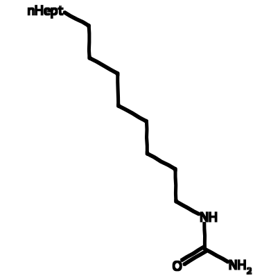 CCCCCCCCCCCCCCCNC(N)=O